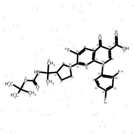 CC(C)(C)OC(=O)NC(C)(C)C1CCN(c2nc3c(cc2F)c(=O)c(C(=O)O)cn3-c2ccc(F)cc2F)C1